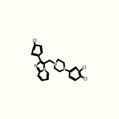 Clc1ccc(-c2nc3ccccn3c2CN2CCN(c3ccc(Cl)c(Cl)c3)CC2)cc1